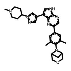 Cc1cc(-c2cnc3[nH]cc(-c4cnn(C5CCN(C)CC5)c4)c3n2)cc(C)c1N1C2COCC1C2